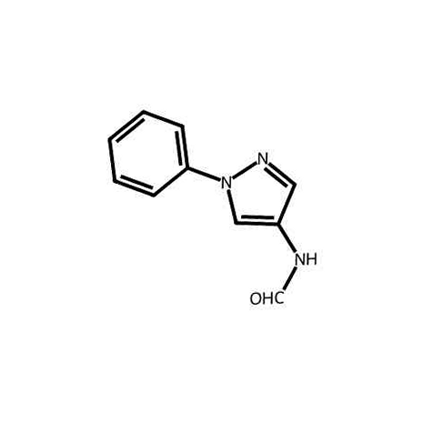 O=CNc1cnn(-c2ccccc2)c1